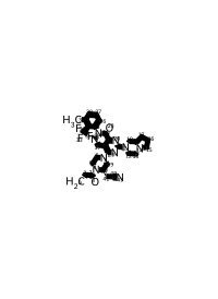 C=CC(=O)N1CCN(c2nc(N3CCN4CCCC4C3)nc3c(=O)n(-c4cccc(C)c4C(F)(F)F)ncc23)C[C@@H]1CC#N